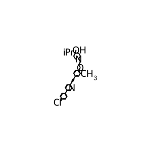 Cc1cc(C#Cc2ccc(-c3ccc(Cl)cc3)cn2)ccc1OCCN1CCC(O)(C(C)C)CC1